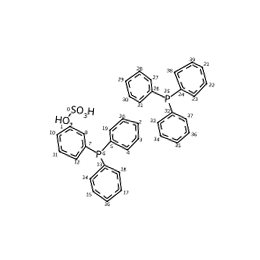 O=S(=O)(O)O.c1ccc(P(c2ccccc2)c2ccccc2)cc1.c1ccc(P(c2ccccc2)c2ccccc2)cc1